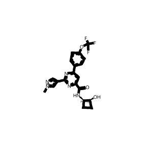 Cn1cc(-c2nc(C(=O)N[C@@H]3CC[C@@H]3O)cc(-c3ccc(OC(F)(F)F)cc3)n2)cn1